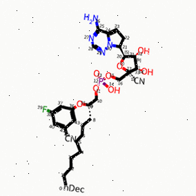 CCCCCCCCCCCCCCCCCC[C@@H](COP(=O)(O)OC[C@@]1(C#N)O[C@@H](C2CC=C3C(N)=NC=NN32)[C@H](O)[C@@H]1O)Oc1cc(F)cc(C#N)c1